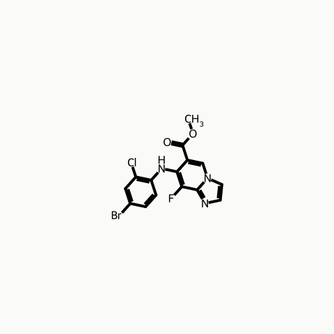 COC(=O)c1cn2ccnc2c(F)c1Nc1ccc(Br)cc1Cl